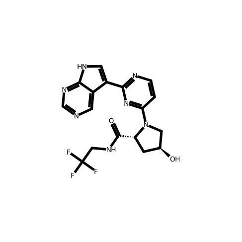 O=C(NCC(F)(F)F)[C@H]1C[C@H](O)CN1c1ccnc(-c2c[nH]c3ncncc23)n1